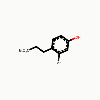 CCOC(=O)CCc1ccc(O)cc1C(C)=O